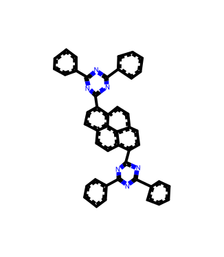 c1ccc(-c2nc(-c3ccccc3)nc(-c3ccc4ccc5c(-c6nc(-c7ccccc7)nc(-c7ccccc7)n6)ccc6ccc3c4c65)n2)cc1